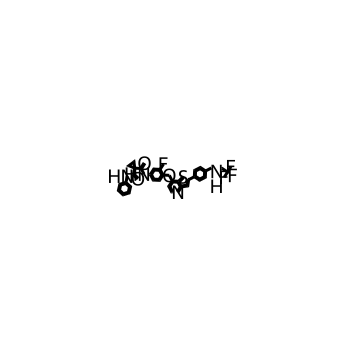 O=C(Nc1ccccc1)C1(C(=O)Nc2ccc(Oc3ccnc4cc(-c5ccc(CNCC(F)(F)F)cc5)sc34)c(F)c2)CC1